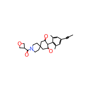 CC#Cc1cc(C)c(C2C(=O)CC3(CCN(C(=O)C4COC4)CC3)CC2=O)c(C)c1